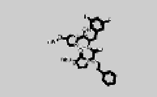 CCCC[C@H]1CCN([C@@H](CCc2ccccc2)C(=O)NC(Cc2cc(F)cc(F)c2)[C@H](O)[C@H]2CC(OCCC)CN2)C1=O